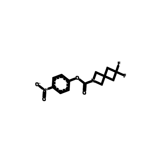 O=C(Oc1ccc([N+](=O)[O-])cc1)N1CC2(C1)CC(F)(F)C2